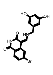 O=C1NC(=O)c2ccc(Br)cc2C1=CNCc1cc(O)cc(O)c1